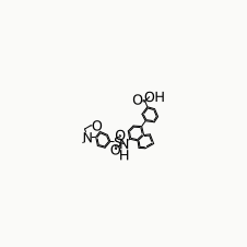 CN1CCOc2cc(S(=O)(=O)Nc3ccc(-c4cccc(C(=O)O)c4)c4ccccc34)ccc21